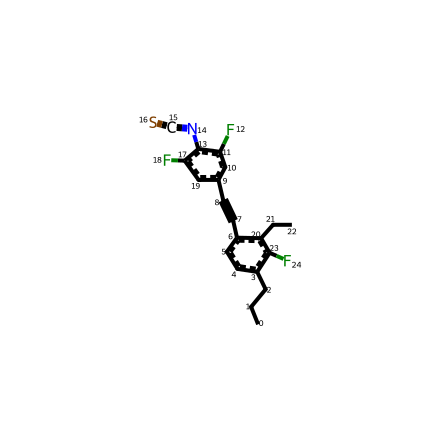 CCCc1ccc(C#Cc2cc(F)c(N=C=S)c(F)c2)c(CC)c1F